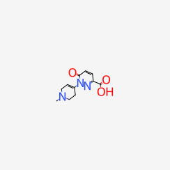 CN1CC=C(n2nc(C(=O)O)ccc2=O)CC1